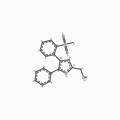 CS(=O)(=O)c1ccccc1-c1nc(CO)oc1-c1ccccc1